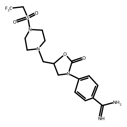 N=C(N)c1ccc(N2CC(CN3CCN(S(=O)(=O)CC(F)(F)F)CC3)OC2=O)cc1